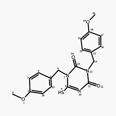 COc1ccc(Cn2c(S)nc(=O)n(Cc3ccc(OC)cc3)c2=O)cc1